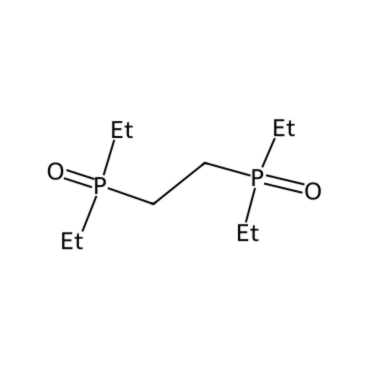 CCP(=O)(CC)CCP(=O)(CC)CC